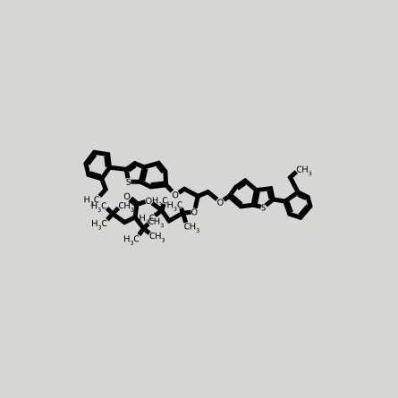 CCc1ccccc1-c1cc2ccc(OCC(COc3ccc4cc(-c5ccccc5CC)sc4c3)OC(C)(C)CC(C)(C)OC(=O)C(CC(C)(C)C)C(C)(C)C)cc2s1